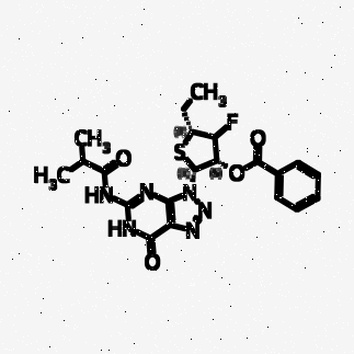 CC[C@H]1S[C@@H](n2nnc3c(=O)[nH]c(NC(=O)C(C)C)nc32)[C@@H](OC(=O)c2ccccc2)C1F